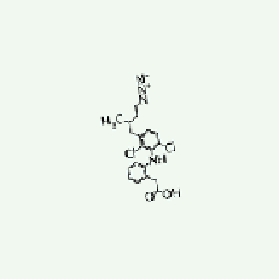 CC(CCN=[N+]=[N-])Cc1ccc(Cl)c(Nc2ccccc2CC(=O)O)c1Cl